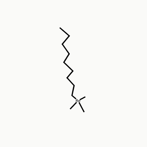 CCCCCCCC[CH2][Re]([CH3])([CH3])[CH3]